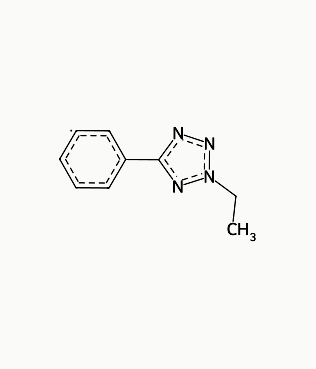 CCn1nnc(-c2c[c]ccc2)n1